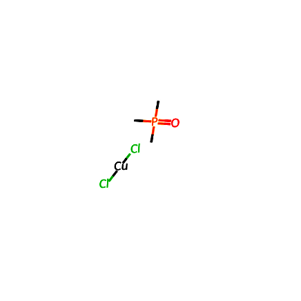 CP(C)(C)=O.[Cl][Cu][Cl]